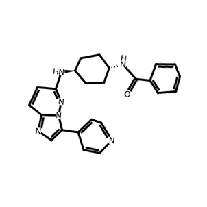 O=C(N[C@H]1CC[C@H](Nc2ccc3ncc(-c4ccncc4)n3n2)CC1)c1ccccc1